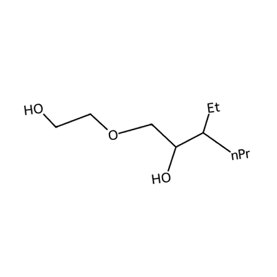 CCCC(CC)C(O)COCCO